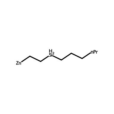 CCCCCC[SiH2]C[CH2][Zn]